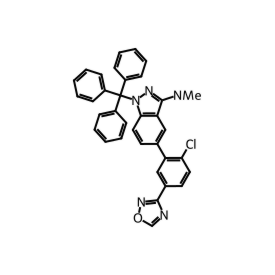 CNc1nn(C(c2ccccc2)(c2ccccc2)c2ccccc2)c2ccc(-c3cc(-c4ncon4)ccc3Cl)cc12